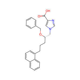 O=C(O)c1cn(C[C@H](CCCc2cccc3ccccc23)OCc2ccccc2)cn1